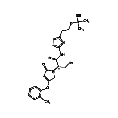 Cc1ccccc1OC1=CC(=O)N([C@@H](CC(C)C)C(=O)Nc2ccn(CCO[Si](C)(C)C(C)(C)C)n2)C1